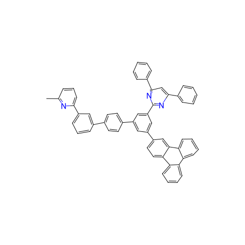 Cc1cccc(-c2cccc(-c3ccc(-c4cc(-c5ccc6c7ccccc7c7ccccc7c6c5)cc(-c5nc(-c6ccccc6)cc(-c6ccccc6)n5)c4)cc3)c2)n1